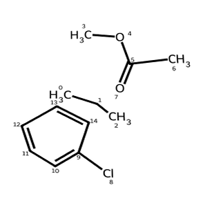 CCC.COC(C)=O.Clc1ccccc1